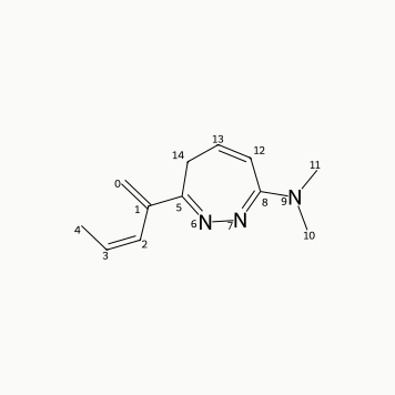 C=C(/C=C\C)C1=NN=C(N(C)C)C=CC1